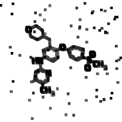 Cc1ccc(Nc2ccc(Oc3ccc(S(C)(=O)=O)cc3)c(CC3CCOCC3)c2)nc1